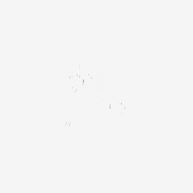 CC(C)(C)CN(C(N)=NC#N)c1cccc(C(=CCCCC(=O)O)c2cccnc2)c1